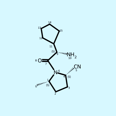 C[C@H]1CC[C@@H](C#N)N1C(=O)[C@@H](N)C1CCCC1